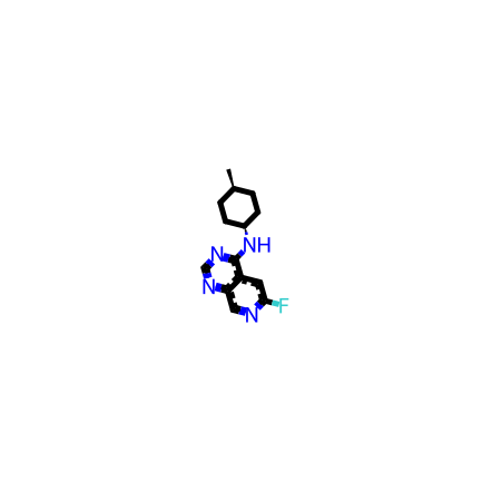 C[C@H]1CC[C@H](Nc2ncnc3cnc(F)cc23)CC1